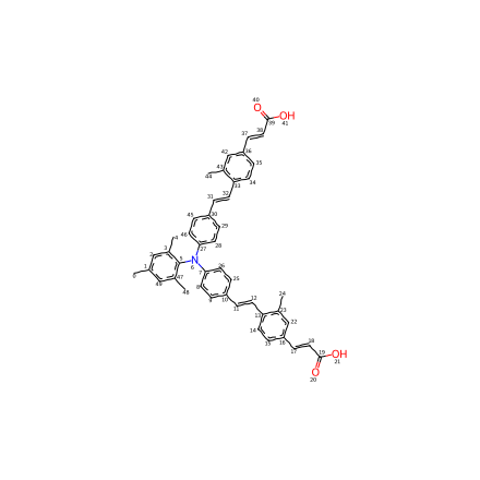 Cc1cc(C)c(N(c2ccc(/C=C/c3ccc(/C=C/C(=O)O)cc3C)cc2)c2ccc(/C=C/c3ccc(/C=C/C(=O)O)cc3C)cc2)c(C)c1